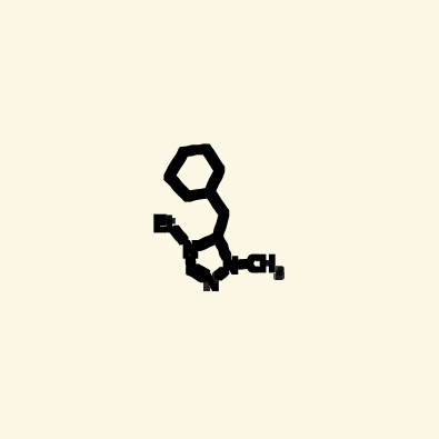 CCN1C=NN(C)C1CC1CCCCC1